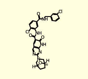 O=C(NCc1cccc(Cl)c1)c1ccc(Cl)c(NC(=O)c2cc3cnc(N4C[C@H]5CC[C@@H](C4)O5)nc3[nH]c2=O)c1